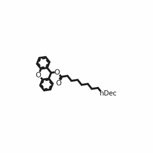 CCCCCCCCCCCCCCCCCC(=O)OC1c2ccccc2Oc2ccccc21